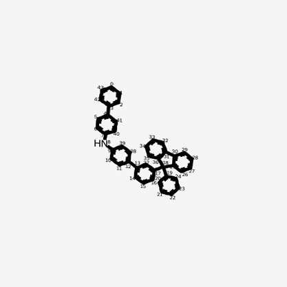 c1ccc(-c2ccc(Nc3ccc(-c4cccc(C5(c6ccccc6)c6ccccc6-c6ccccc65)c4)cc3)cc2)cc1